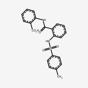 Cc1ccc(S(=O)(=O)Nc2ccccc2C(=O)Nc2ccccc2C(=O)O)cc1